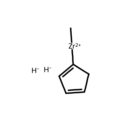 [CH3][Zr+2][C]1=CC=CC1.[H-].[H-]